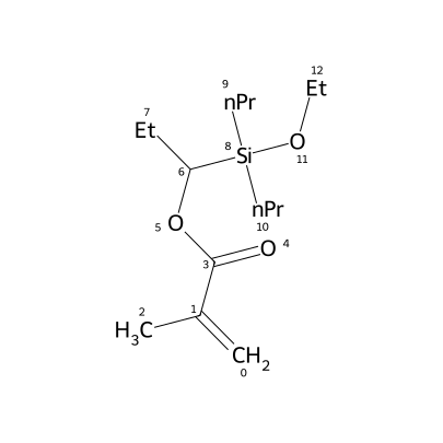 C=C(C)C(=O)OC(CC)[Si](CCC)(CCC)OCC